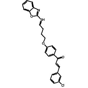 O=C(/C=C/c1cccc(Cl)c1)c1ccc(OCCCC=[SH]c2nc3ccccc3o2)cc1